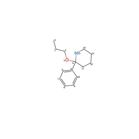 CCCOC1(c2ccccc2)CCCC[N]1